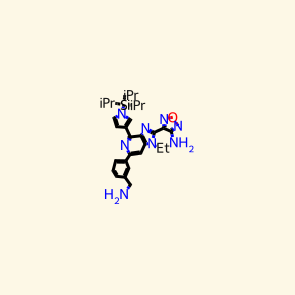 CCn1c(-c2nonc2N)nc2c(-c3ccn([Si](C(C)C)(C(C)C)C(C)C)c3)nc(-c3cccc(CN)c3)cc21